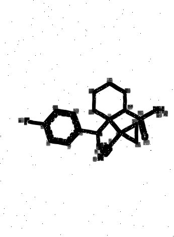 N#CC1(C2(C(S)c3ccc(F)cc3)CCCCC2C(N)=O)CC1